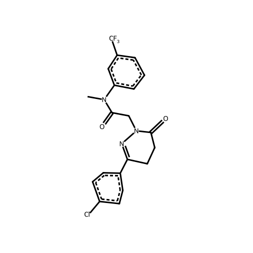 CN(C(=O)CN1N=C(c2ccc(Cl)cc2)CCC1=O)c1cccc(C(F)(F)F)c1